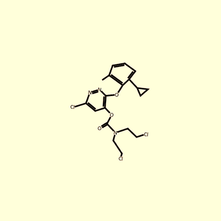 Cc1cccc(C2CC2)c1Oc1nnc(Cl)cc1OC(=O)N(CCCl)CCCl